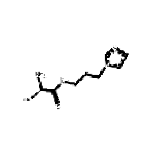 CCC(C)[C@@H](N)C(=S)NCCCn1ccnc1